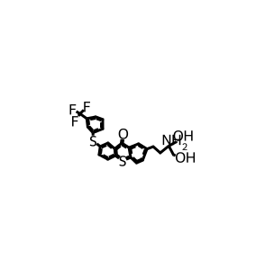 NC(CO)(CO)CCc1ccc2sc3ccc(Sc4cccc(C(F)(F)F)c4)cc3c(=O)c2c1